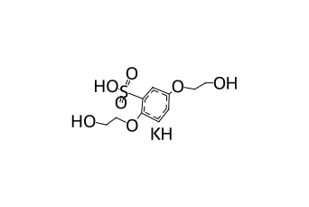 O=S(=O)(O)c1cc(OCCO)ccc1OCCO.[KH]